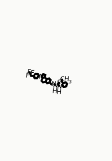 CCc1ccccc1NC(=S)N/N=C/c1ccc2c(c1)CCc1c-2ccn1-c1ccc(CC(F)(F)F)cc1